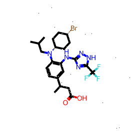 CC(C)CN(c1ccc(C(C)CC(=O)O)cc1Nc1n[nH]c(C(F)(F)F)n1)[C@H]1CC[C@@H](Br)CC1